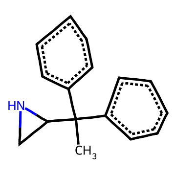 CC(c1ccccc1)(c1ccccc1)C1CN1